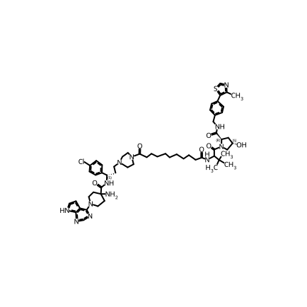 Cc1ncsc1-c1ccc(CNC(=O)[C@H]2C[C@H](O)CN2C(=O)C(NC(=O)CCCCCCCCCC(=O)N2CCN(CC[C@H](NC(=O)C3(N)CCN(c4ncnc5[nH]ccc45)CC3)c3ccc(Cl)cc3)CC2)C(C)(C)C)cc1